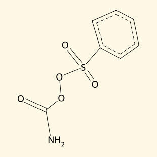 NC(=O)OOS(=O)(=O)c1ccccc1